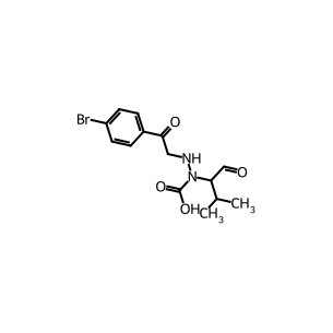 CC(C)C(C=O)N(NCC(=O)c1ccc(Br)cc1)C(=O)O